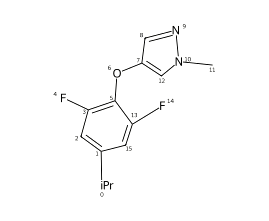 CC(C)c1cc(F)c(Oc2cnn(C)c2)c(F)c1